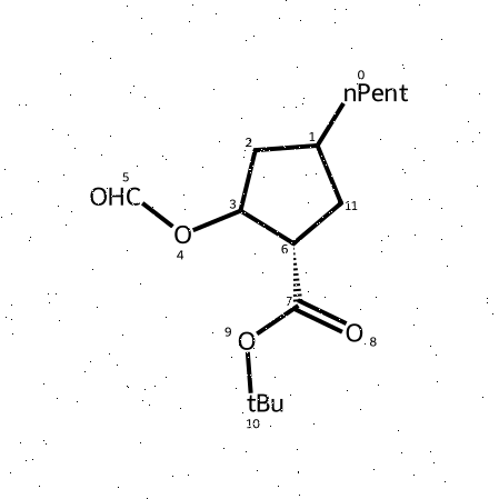 CCCCCC1CC(OC=O)[C@@H](C(=O)OC(C)(C)C)C1